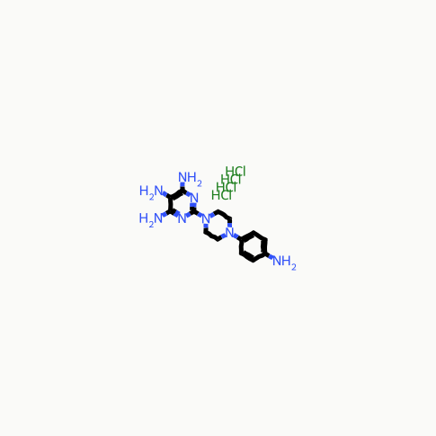 Cl.Cl.Cl.Cl.Nc1ccc(N2CCN(c3nc(N)c(N)c(N)n3)CC2)cc1